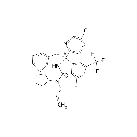 C=CCN(C(=O)N[C@](Cc1ccccc1)(c1cc(F)cc(C(F)(F)F)c1)c1ccc(Cl)cn1)C1CCCC1